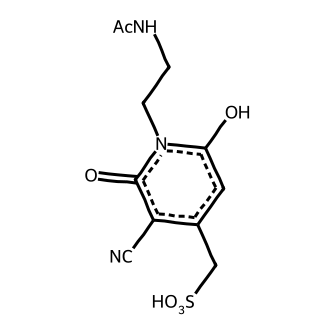 CC(=O)NCCn1c(O)cc(CS(=O)(=O)O)c(C#N)c1=O